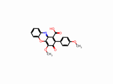 COc1ccc(-c2c(C(=O)O)c3nc4ccccc4oc-3c(OC)c2=O)cc1